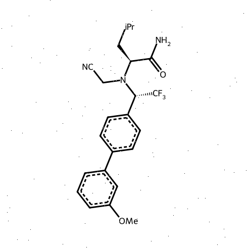 COc1cccc(-c2ccc([C@H](N(CC#N)[C@@H](CC(C)C)C(N)=O)C(F)(F)F)cc2)c1